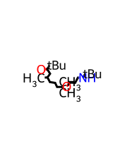 CC(CCCC(C)(C)OCCCNC(C)(C)C)CC(=O)C(C)(C)C